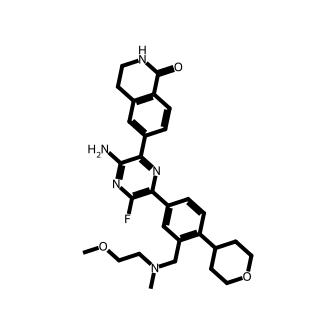 COCCN(C)Cc1cc(-c2nc(-c3ccc4c(c3)CCNC4=O)c(N)nc2F)ccc1C1CCOCC1